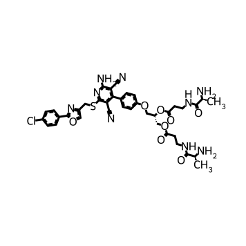 C[C@H](N)C(=O)NCCC(=O)OC[C@H](COc1ccc(-c2c(C#N)c(N)nc(SCc3coc(-c4ccc(Cl)cc4)n3)c2C#N)cc1)OC(=O)CCNC(=O)[C@H](C)N